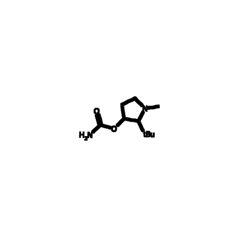 CN1CCC(OC(N)=O)C1C(C)(C)C